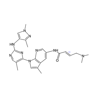 Cc1cnc(Nc2cn(C)nc2C)nc1-n1cc(C)c2cc(NC(=O)/C=C/CN(C)C)cnc21